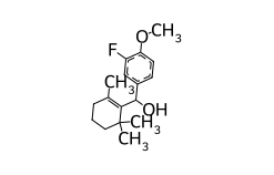 COc1ccc(C(O)C2=C(C)CCCC2(C)C)cc1F